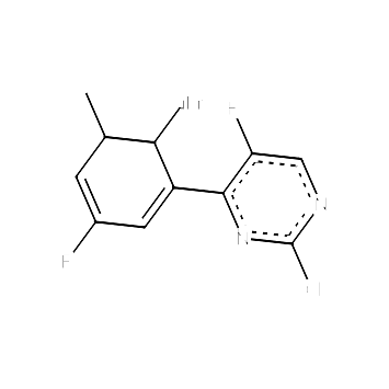 CC(C)C1C(c2nc(Cl)ncc2F)=CC(F)=CC1C